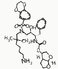 CC(C)(CCCCN)CN(C[C@@H](O)[C@H](Cc1ccccc1)NC(=O)O[C@H]1CO[C@H]2OCC[C@H]21)S(=O)(=O)c1ccc2c(c1)OCCO2